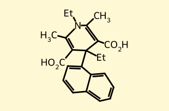 CCN1C(C)=C(C(=O)O)C(CC)(c2cccc3ccccc23)C(C(=O)O)=C1C